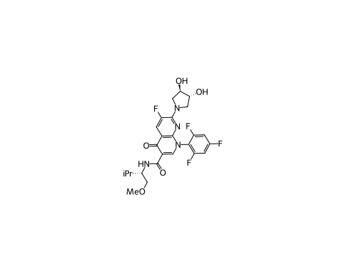 COC[C@@H](NC(=O)c1cn(-c2c(F)cc(F)cc2F)c2nc(N3C[C@@H](O)[C@H](O)C3)c(F)cc2c1=O)C(C)C